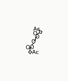 CC(=O)C1CCC1C(=O)OCCOCCOC(=O)C1CCC1C(C)=O